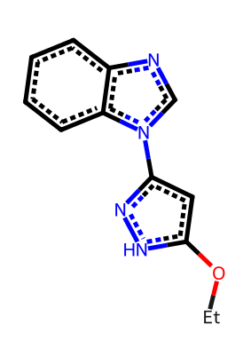 CCOc1cc(-n2cnc3ccccc32)n[nH]1